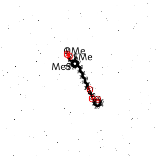 COOOCc1c(SC)cc(CCCCCCCCOCCOC2CCCCO2)cc1SC